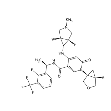 C[C@@H](NC(=O)c1cn([C@]23COC[C@H]2C3)c(=O)cc1N[C@@H]1[C@@H]2CN(C)C[C@@H]21)c1cccc(C(F)(F)F)c1F